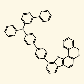 c1ccc(-c2cccc(N(c3ccccc3)c3ccc(-c4ccc(-c5cccc6c5oc5c6ccc6ccc7ccccc7c65)cc4)cc3)c2)cc1